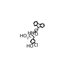 O=C(NC(Cc1ccc(O)c(Cl)c1)C(=O)O)OCC1c2ccccc2-c2ccccc21